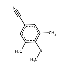 CSc1c(C)cc(C#N)cc1C